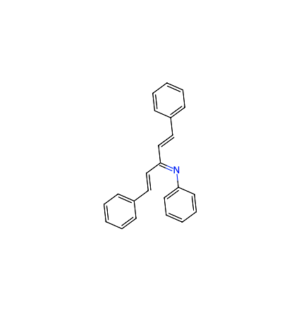 C(=Cc1ccccc1)C(C=Cc1ccccc1)=Nc1ccccc1